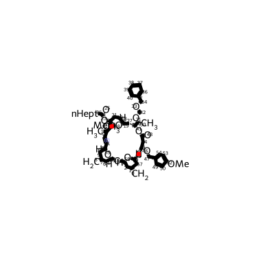 C=C1C[C@@H]2C[C@@H]3CC(=C)C[C@H](/C=C/C(C)(C)[C@]4(OC)O[C@@H](CC[C@@H]4OC(=O)CCCCCCC)C[C@H]([C@@H](C)OCOCc4ccccc4)OC(=O)C[C@H](OCc4ccc(OC)cc4)C[C@H](C1)O2)O3